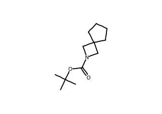 CC(C)(C)OC(=O)N1CC2(CCCC2)C1